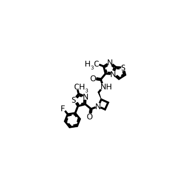 Cc1nc(C(=O)N2CC[C@@H]2CNC(=O)c2c(C)nc3sccn23)c(-c2ccccc2F)s1